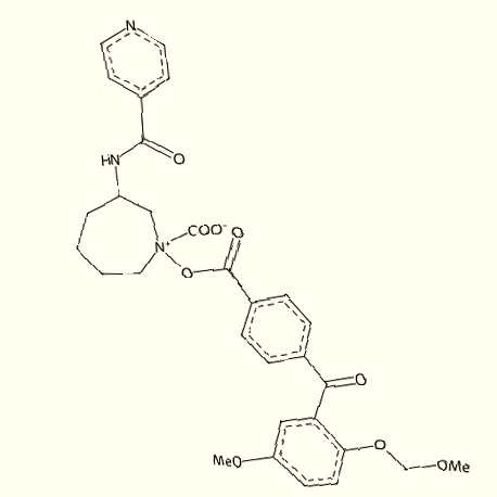 COCOc1ccc(OC)cc1C(=O)c1ccc(C(=O)O[N+]2(C(=O)[O-])CCCCC(NC(=O)c3ccncc3)C2)cc1